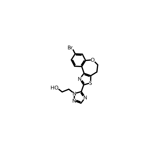 OCCn1ncnc1-c1nc2c(s1)CCOc1cc(Br)ccc1-2